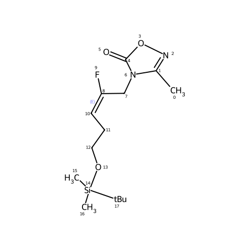 Cc1noc(=O)n1C/C(F)=C\CCO[Si](C)(C)C(C)(C)C